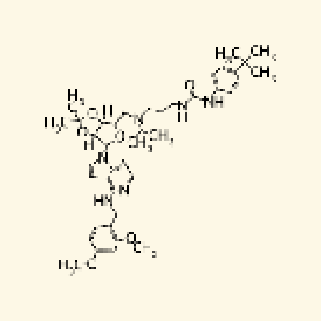 COc1ccc(CNc2ncnc3c2ccn3[C@@H]2O[C@H](CN(CCCNC(=O)Nc3ccc(C(C)(C)C)cc3)C(C)C)[C@H]3OC(C)(C)O[C@H]32)c(OC)c1